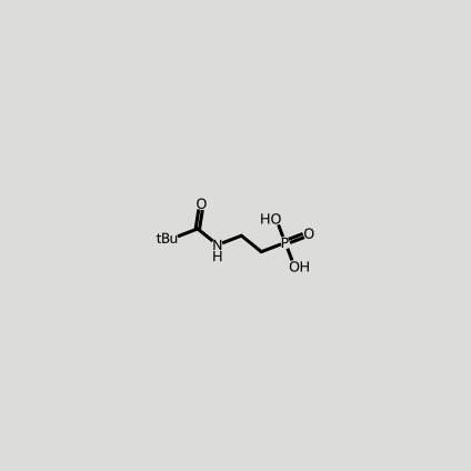 CC(C)(C)C(=O)NCCP(=O)(O)O